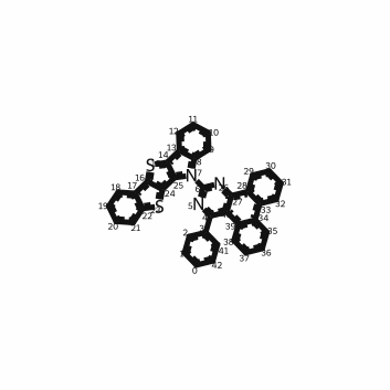 c1ccc(-c2nc(-n3c4ccccc4c4sc5c6ccccc6sc5c43)nc3c4ccccc4c4ccccc4c23)cc1